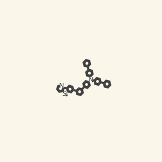 C[Si]1(C)c2cc(-c3cccc(-c4ccc(N(c5ccc(-c6ccccc6)cc5)c5ccc(-c6ccccc6)cc5)cc4)c3)ccc2-c2ncccc21